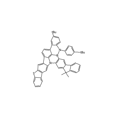 CC(C)(C)c1ccc(N2B3c4cc5c(cc4-n4c6cc7c(cc6c6ccc(c3c64)-c3cc(C(C)(C)C)ccc32)sc2ccccc27)C(C)(C)c2ccccc2-5)cc1